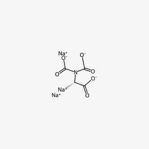 C[C@@H](C(=O)[O-])N(C(=O)[O-])C(=O)[O-].[Na+].[Na+].[Na+]